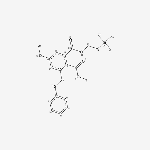 COC(=O)c1c(CSc2ccccc2)cc(OC)cc1C(=O)OCC[Si](C)(C)C